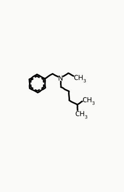 CCN(CCCC(C)C)Cc1ccccc1